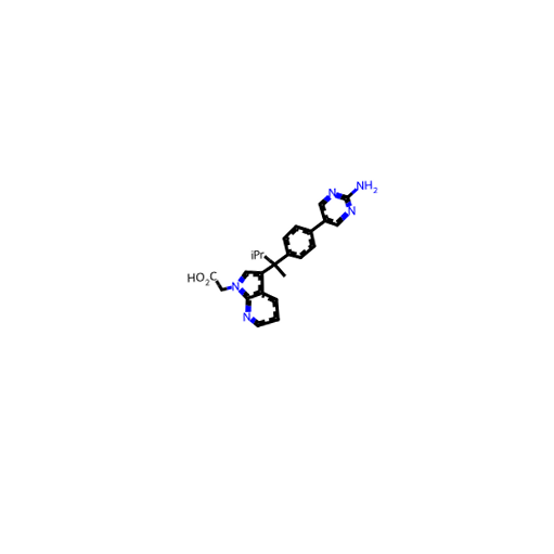 CC(C)C(C)(c1ccc(-c2cnc(N)nc2)cc1)c1cn(CC(=O)O)c2ncccc12